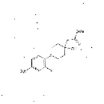 COC(=O)CC1(O)CCN(c2ccc([N+](=O)[O-])cc2Cl)CC1